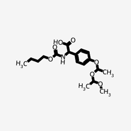 CCCCOC(=O)NC(C(=O)O)c1ccc(OC(C)OC(C)OC)cc1